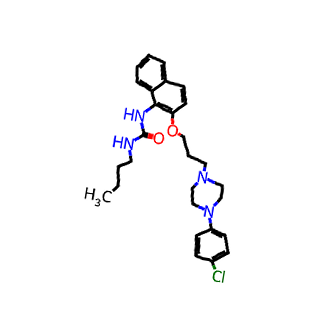 CCCCNC(=O)Nc1c(OCCCN2CCN(c3ccc(Cl)cc3)CC2)ccc2ccccc12